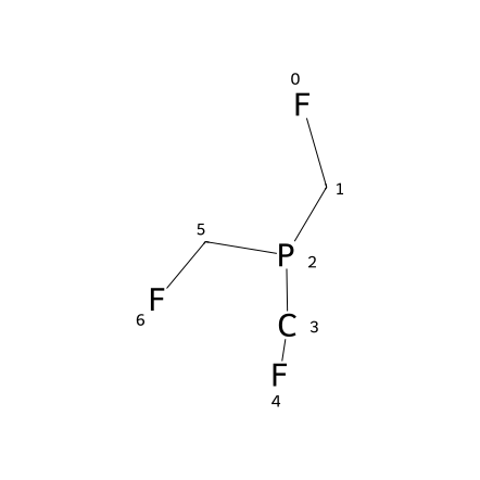 FCP(CF)CF